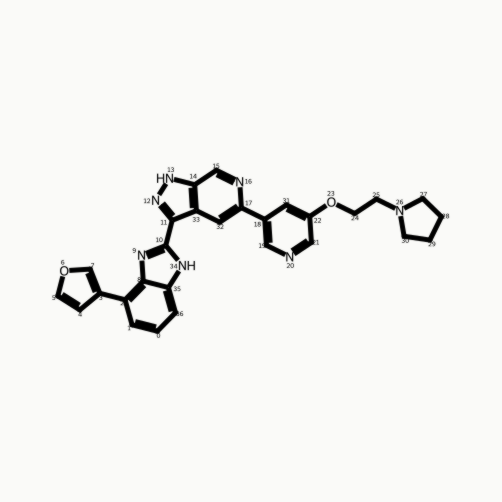 c1cc(-c2ccoc2)c2nc(-c3n[nH]c4cnc(-c5cncc(OCCN6CCCC6)c5)cc34)[nH]c2c1